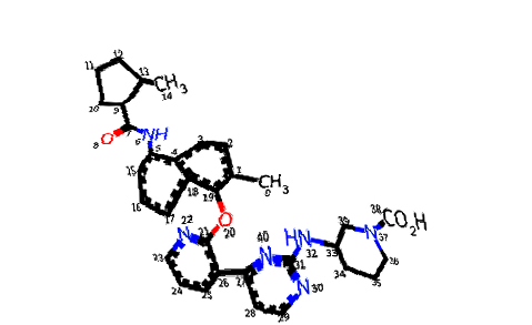 Cc1ccc2c(NC(=O)C3CCCC3C)cccc2c1Oc1ncccc1-c1ccnc(NC2CCCN(C(=O)O)C2)n1